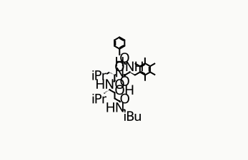 CCC(C)CNC(=O)C[C@H](O)[C@H](CC(C)C)NC(=O)[C@H](CC(C)C)NC(=O)[C@H](Cc1c(C)c(C)c(C)c(C)c1C)NC(=O)OCc1ccccc1